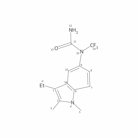 CCc1c(C)n(C)c2ccc(N(C(N)=O)C(F)(F)F)cc12